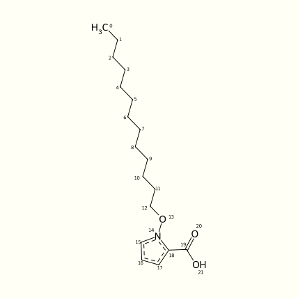 CCCCCCCCCCCCCOn1cccc1C(=O)O